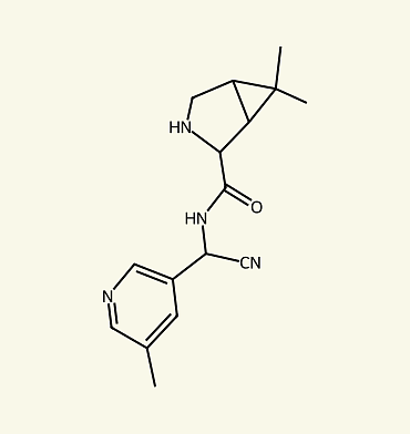 Cc1cncc(C(C#N)NC(=O)C2NCC3C2C3(C)C)c1